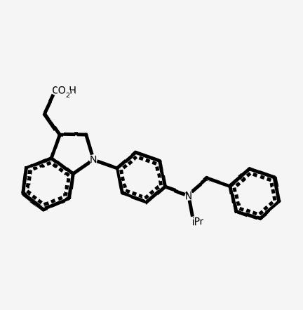 CC(C)N(Cc1ccccc1)c1ccc(N2CC(CC(=O)O)c3ccccc32)cc1